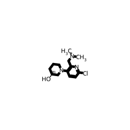 CN(C)Cc1nc(Cl)ccc1N1CCC[C@@H](O)C1